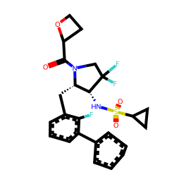 O=C(C1CCO1)N1CC(F)(F)[C@H](NS(=O)(=O)C2CC2)[C@@H]1Cc1cccc(-c2ccccc2)c1F